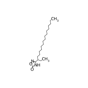 CCCCCCCCCCCCCCCCC(CC)c1noc(=O)[nH]1